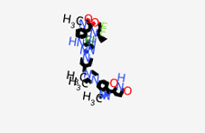 Cn1nc(C2CCC(=O)NC2=O)c2ccc(N3CCN(CC4CCN(c5ncc(Cl)c(Nc6ccc7c(c6)c6c(c(=O)n7C)OCC(F)(F)C(C7CC7)N6)n5)CC4)C(C)(C)C3)cc21